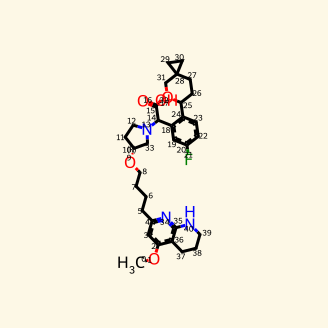 COc1cc(CCCCO[C@@H]2CCN(C(C(=O)O)c3cc(F)ccc3C3CCC4(CC4)CO3)C2)nc2c1CCCN2